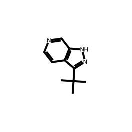 CC(C)(C)c1n[nH]c2cnccc12